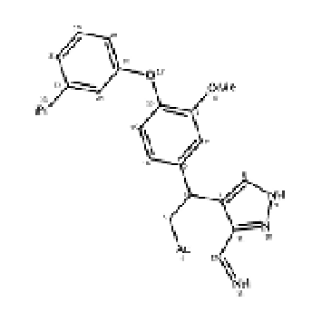 COc1cc(C(CC(C)=O)c2c[nH]nc2C=N)ccc1Oc1cccc(C(C)C)c1